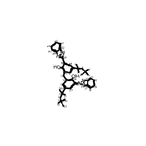 CC(C)(C)CC(C)(C)c1cc(Cc2cc(C(C)(C)CC(C)(C)C)cc(-n3n4c5ccccc5n34)c2O)c(O)c(C2n3c4ccccc4n32)c1